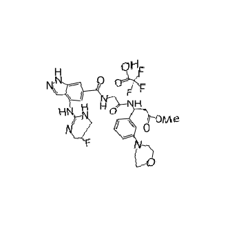 COC(=O)C[C@H](NC(=O)CNC(=O)c1cc(NC2=NCC(F)CN2)c2cn[nH]c2c1)c1cccc(N2CCOCC2)c1.O=C(O)C(F)(F)F